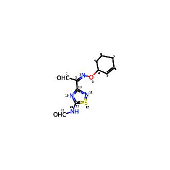 O=[C]C(=NOC1C=CCCC1)c1nsc(NC=O)n1